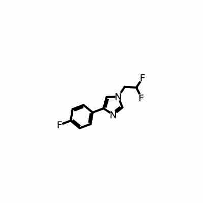 Fc1ccc(-c2cn(CC(F)F)cn2)cc1